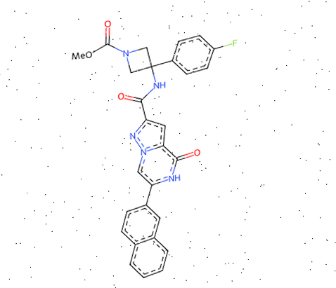 COC(=O)N1CC(NC(=O)c2cc3c(=O)[nH]c(-c4ccc5ccccc5c4)cn3n2)(c2ccc(F)cc2)C1